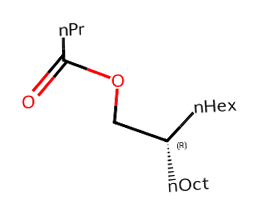 CCCCCCCC[C@@H](CCCCCC)COC(=O)CCC